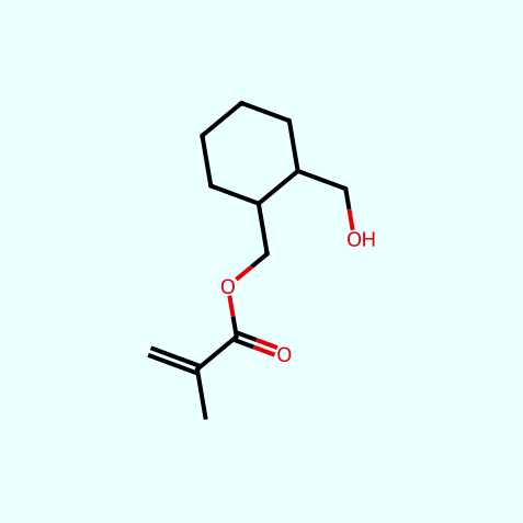 C=C(C)C(=O)OCC1CCCCC1CO